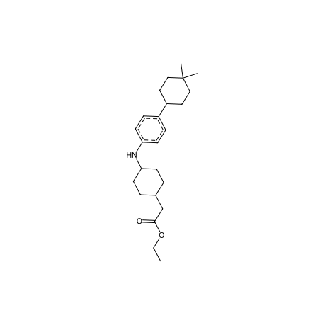 CCOC(=O)CC1CCC(Nc2ccc(C3CCC(C)(C)CC3)cc2)CC1